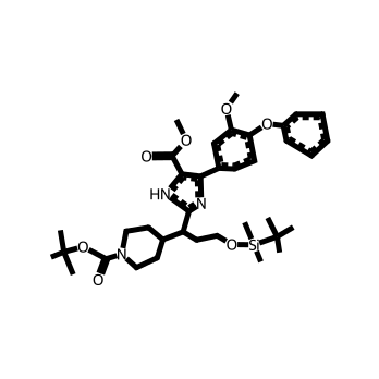 COC(=O)c1[nH]c(C(CCO[Si](C)(C)C(C)(C)C)C2CCN(C(=O)OC(C)(C)C)CC2)nc1-c1ccc(Oc2ccccc2)c(OC)c1